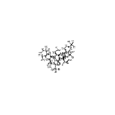 Cc1cc(Nc2ccc(C(C)(C)C)cc2)c2c(c1)N(c1cc3c(cc1C)C(C)(C)CCC3(C)C)c1c(oc3c1C(C)(C)CCC3(C)C)B2c1cc(C(C)(C)C)ccc1C